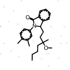 CCCCC(C)(CCC1c2ccccc2C(=O)N1c1ccc(C)c(C)c1)OC